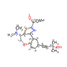 COC(=O)c1nc2c(s1)C(N(C)C)COc1ccc(C#CC(C)(C)O)cc1-2